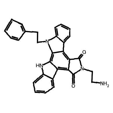 NCCN1C(=O)c2c(c3c4ccccc4n(CCc4ccccc4)c3c3[nH]c4ccccc4c23)C1=O